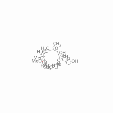 C=CC[C@@H]1/C=C(\C)C[C@H](C)C[C@H](OC)[C@H]2O[C@@](O)(C(=O)C(=O)N3CCCC[C@H]3C(=O)O[C@H](/C(C)=C/C3CC4CC3CCC4O)[C@H](C)[C@@H](O)CC1=O)[C@H](C)C[C@@H]2OC